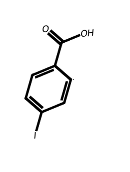 O=C(O)c1[c]cc(I)cc1